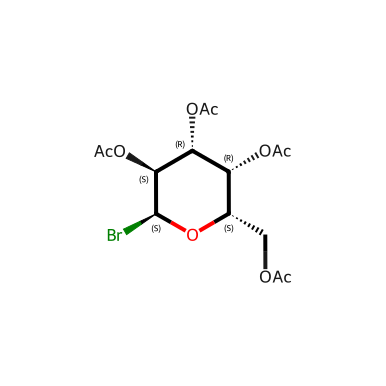 CC(=O)OC[C@@H]1O[C@@H](Br)[C@@H](OC(C)=O)[C@H](OC(C)=O)[C@@H]1OC(C)=O